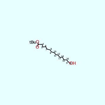 CC(C)(C)OC(=O)CCCCCCCCCCCCCCO